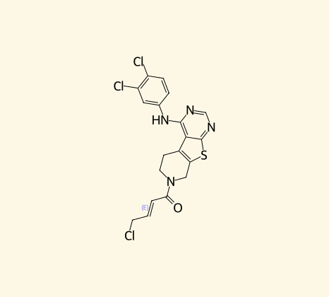 O=C(/C=C/CCl)N1CCc2c(sc3ncnc(Nc4ccc(Cl)c(Cl)c4)c23)C1